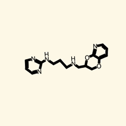 c1cnc(NCCCNCC2COc3cccnc3O2)nc1